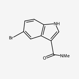 CNC(=O)c1c[nH]c2ccc(Br)cc12